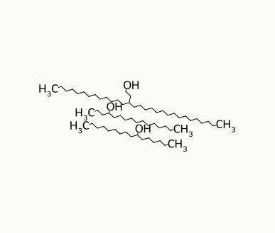 CCCCCCCCCC(O)CCCCCC.CCCCCCCCCCCCC(O)CCC.CCCCCCCCCCCCCCCCC(CCO)CCCCCCCCCCCCC